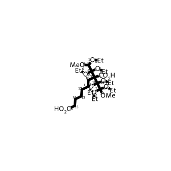 CCOC(OC)C(OCC)(OCC)C(CCCCCCC(=O)O)(C(=O)O)C(OCC)(OCC)C(OC)(OCC)OCC